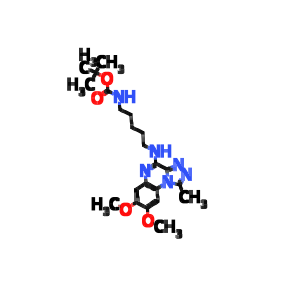 COc1cc2nc(NCCCCCNC(=O)OC(C)(C)C)c3nnc(C)n3c2cc1OC